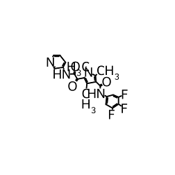 Cc1c(C(=O)Nc2cc(F)c(F)c(F)c2)c(C)n(C)c1C(=O)C(=O)Nc1cccnc1